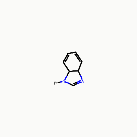 CCN1C=NC2C=CC=CC21